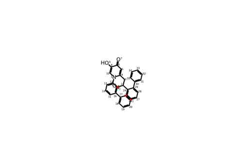 O=NC(Cc1cc(=O)c(O)cn1-c1cccc(-c2ccccc2)c1)C1=C=C=CC=C1c1ccccc1